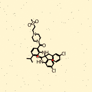 CC(C)c1ccc(C(=O)N2CCN(CCS(C)(=O)=O)CC2)c(NC2(Cc3cccc(Cl)c3)C(=O)Nc3cc(Cl)ccc32)c1